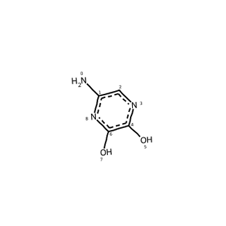 Nc1cnc(O)c(O)n1